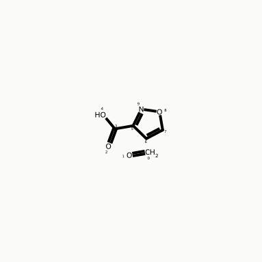 C=O.O=C(O)c1ccon1